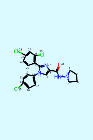 O=C(NN1CCCC1)c1cn(-c2ccc(Cl)cc2)c(-c2ccc(Cl)cc2Cl)n1